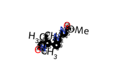 C=C(C)c1cc(-c2cccc3cc(-c4ccc(C(=O)OC)nc4)ncc23)cc2c1CCC(=O)N2C